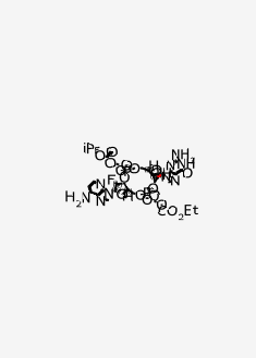 CCOC(=O)OCOP1(=O)OC[C@H]2O[C@@H](n3cnc4c(N)ccnc43)[C@@H](F)C2OP(=O)(OCOC(=O)OC(C)C)OC[C@H]2O[C@@H](n3cnc4c(=O)[nH]c(N)nc43)C(O1)[C@H]2O